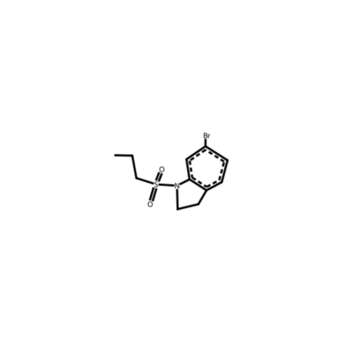 CCCS(=O)(=O)N1CCc2ccc(Br)cc21